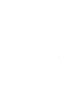 C[Si](C)(C)C#Cc1cccc(C=O)c1OCc1ccccc1